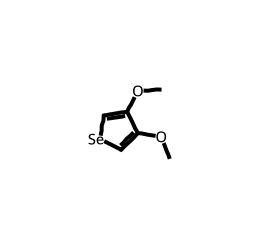 COc1c[se]cc1OC